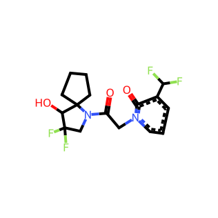 O=C(Cn1cccc(C(F)F)c1=O)N1CC(F)(F)C(O)C12CCCC2